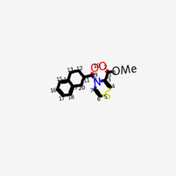 COC(=O)C1=CSC=CN1C(=O)C1CCc2ccccc2C1